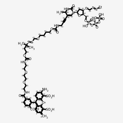 C=c1ccc2c(c1S(=O)(=O)O)Oc1c(ccc(N)c1S(=O)(=O)O)C=2c1cc(C(=O)NCCOCCOCCNC(=O)OCCC(C)(C)SSCOCCCCOC(=O)NCC#CC2=CN([C@H]3C[C@H](OCSSCC)[C@@H](COP(=O)(O)OP(=O)(O)OP(=O)(O)O)O3)C(=O)NC2N)ccc1C(=O)O